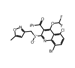 Cc1cc(C[S+]([O-])c2nc3c(Br)ccc(Cl)c3c(OC(F)F)c2C(=O)C(C)C)no1